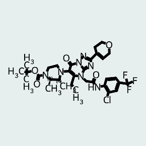 CCc1c(N2CCN(C(=O)OC(C)(C)C)[C@H](C)[C@H]2C)c(=O)n2nc(C3=CCOCC3)nc2n1CC(=O)Nc1ccc(C(F)(F)F)cc1Cl